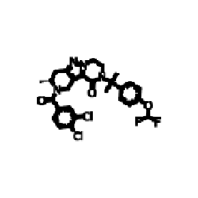 C[C@@H]1Cc2nn3c(c2CN1C(=O)c1ccc(Cl)c(Cl)c1)C(=O)N(C(C)(C)c1ccc(OC(F)F)cc1)CC3